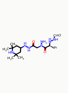 CC(C)[C@H](NNC=O)C(=O)N(N)CC(=O)NNC1CC(C)(C)NC(C)(C)C1